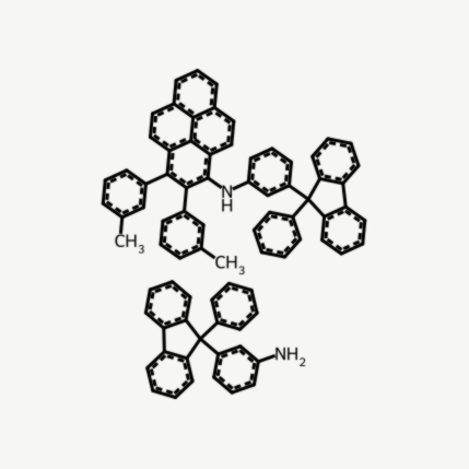 Cc1cccc(-c2c(Nc3cccc(C4(c5ccccc5)c5ccccc5-c5ccccc54)c3)c3ccc4cccc5ccc(c2-c2cccc(C)c2)c3c45)c1.Nc1cccc(C2(c3ccccc3)c3ccccc3-c3ccccc32)c1